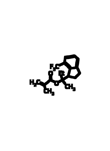 C=C(C)C(=O)OC(C)(CC)C1CCc2cccc(C(F)(F)F)c21